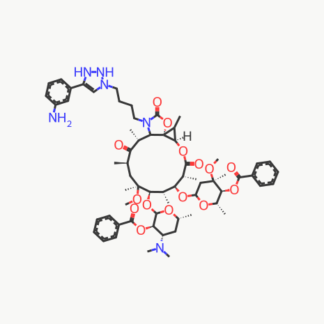 CO[C@]1(C)CC(O[C@H]2[C@H](C)[C@@H](OC3O[C@H](C)C[C@H](N(C)C)[C@H]3OC(=O)c3ccccc3)[C@@](C)(OC)C[C@@H](C)C(=O)[C@H](C)C3N(CCCCN4C=C(c5cccc(N)c5)NN4)C(=O)O[C@@]34C(C)[C@H]4OC(=O)[C@@H]2C)O[C@@H](C)[C@@H]1OC(=O)c1ccccc1